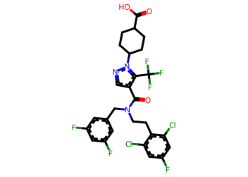 O=C(O)C1CCC(n2ncc(C(=O)N(CCc3c(Cl)cc(F)cc3Cl)Cc3cc(F)cc(F)c3)c2C(F)(F)F)CC1